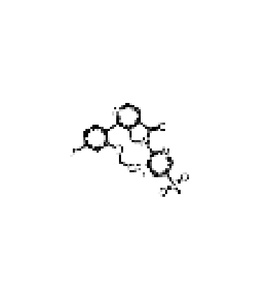 CS(=O)(=O)c1ccc(N2Cc3c(ccnc3-c3ccc(F)cc3OCC(F)(F)F)C2=O)nc1